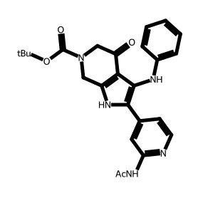 CC(=O)Nc1cc(-c2[nH]c3c(c2Nc2ccccc2)C(=O)CN(C(=O)OC(C)(C)C)C3)ccn1